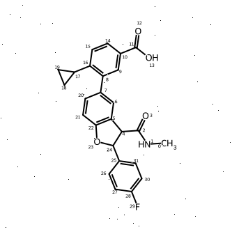 CNC(=O)C1c2cc(-c3cc(C(=O)O)ccc3C3CC3)ccc2OC1c1ccc(F)cc1